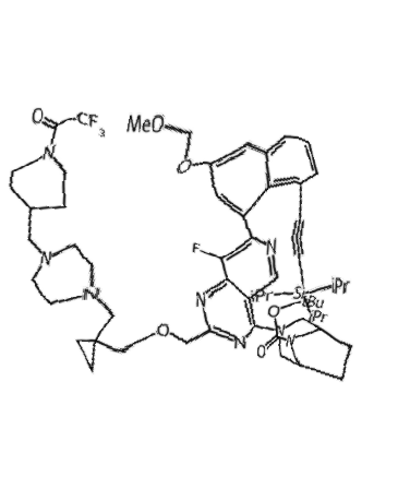 COCOc1cc(-c2ncc3c(N4CC5CCC(C4)N5C(=O)OC(C)(C)C)nc(COCC4(CN5CCN(CC6CCN(C(=O)C(F)(F)F)CC6)CC5)CC4)nc3c2F)c2c(C#C[Si](C(C)C)(C(C)C)C(C)C)cccc2c1